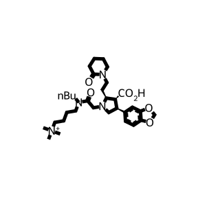 CCCCN(CCCC[N+](C)(C)C)C(=O)CN1C[C@H](c2ccc3c(c2)OCO3)[C@@H](C(=O)O)[C@@H]1CCN1CCCCC1=O